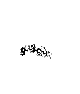 CC1CC(c2cnc(NCc3c(F)ccc4c3CCO4)n3cnnc23)CC(C)N1CC(C=O)N(C)C